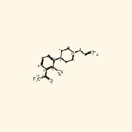 C=CCN1CCC(c2cccc(C(=O)C(F)(F)F)c2C#N)CC1